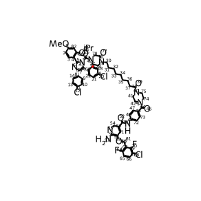 COc1ccc(C2=N[C@@H](c3ccc(Cl)cc3)[C@@H](c3ccc(Cl)cc3)N2C(=O)N2CCN(CCCCCCCCC(=O)N3CCN(C(=O)c4ccc(NC(=O)c5cnc(N)c(O[C@H](C)c6c(F)ccc(Cl)c6F)c5)cc4)CC3)C(=O)C2)c(OC(C)C)c1